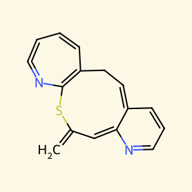 C=C1/C=c2/nccc/c2=C/CC2=C(N=C=CC=C2)S1